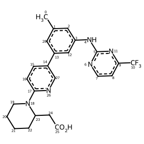 Cc1cc(Nc2nccc(C(F)(F)F)n2)cc(-c2ccc(N3CCCCC3CC(=O)O)nc2)c1